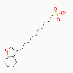 O=S(=O)(O)CCCCCCCCCCc1coc2ccccc12